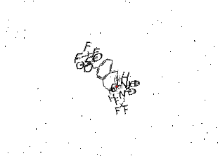 O=S1(=O)N[C@@]2(CN1CC(F)(F)F)[C@@H]1CC[C@H]2Cc2ccc(OS(=O)(=O)C(F)(F)F)cc2C1